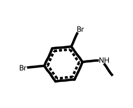 CNc1ccc(Br)cc1Br